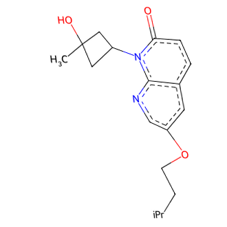 CC(C)CCOc1cnc2c(ccc(=O)n2C2CC(C)(O)C2)c1